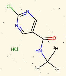 Cl.[2H]C([2H])([2H])NC(=O)c1cnc(Cl)nc1